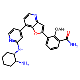 COc1c(C(N)=O)cccc1-c1cc2nccc(-c3ccnc(N[C@@H]4CCCC[C@@H]4N)c3)c2o1